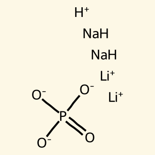 O=P([O-])([O-])[O-].[H+].[Li+].[Li+].[NaH].[NaH]